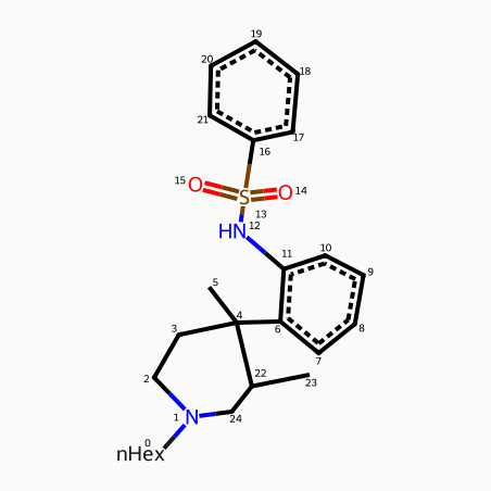 CCCCCCN1CCC(C)(c2ccccc2NS(=O)(=O)c2ccccc2)C(C)C1